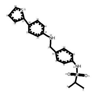 CC(C)S(=O)(=O)Nc1ccc(CNc2ccc(-c3cccs3)cc2)cc1